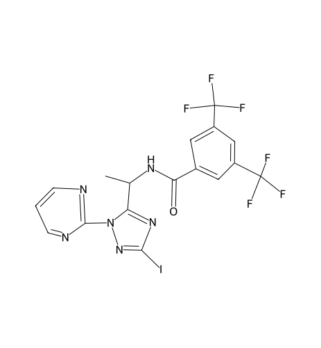 CC(NC(=O)c1cc(C(F)(F)F)cc(C(F)(F)F)c1)c1nc(I)nn1-c1ncccn1